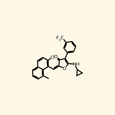 Cc1cccc2ccc(Cl)c(/C=C3/OC(NC4CC4)=C(c4cccc(C(F)(F)F)c4)C3=O)c12